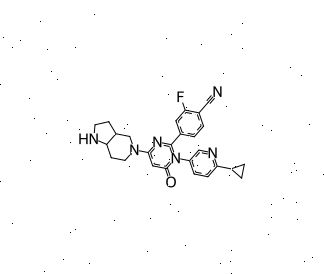 N#Cc1ccc(-c2nc(N3CCC4NCCC4C3)cc(=O)n2-c2ccc(C3CC3)nc2)cc1F